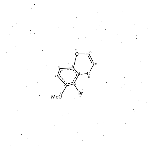 COc1ccc2c(c1Br)OC=CO2